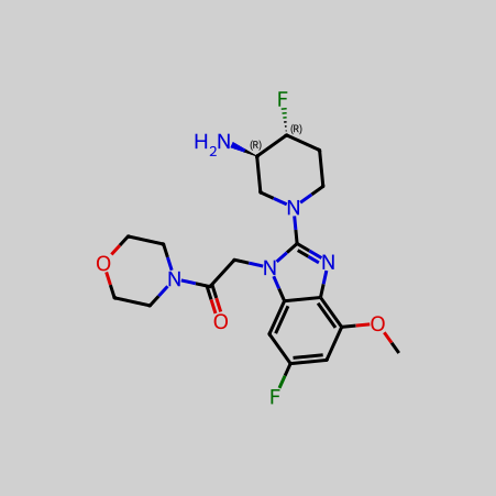 COc1cc(F)cc2c1nc(N1CC[C@@H](F)[C@H](N)C1)n2CC(=O)N1CCOCC1